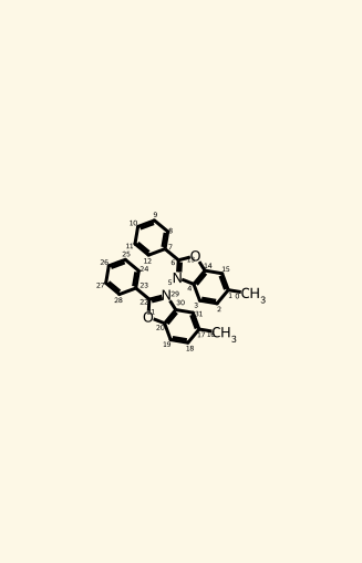 Cc1ccc2nc(-c3ccccc3)oc2c1.Cc1ccc2oc(-c3ccccc3)nc2c1